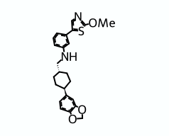 COc1ncc(-c2cccc(NC[C@H]3CC[C@H](c4ccc5c(c4)OCO5)CC3)c2)s1